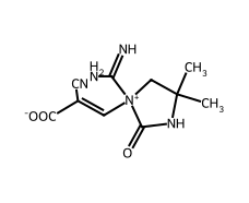 CC1(C)C[N+](C=C(C#N)C(=O)[O-])(C(=N)N)C(=O)N1